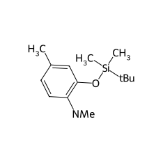 CNc1ccc(C)cc1O[Si](C)(C)C(C)(C)C